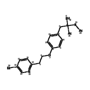 BC(Cc1ccc(OCCc2ccc(CC)cn2)cc1)(SC(C)=O)C(C)=O